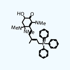 CNC1=C(C=CC(C)=CC[PH](c2ccccc2)(c2ccccc2)c2ccccc2)C(NC)(NC)CC(O)C1=O